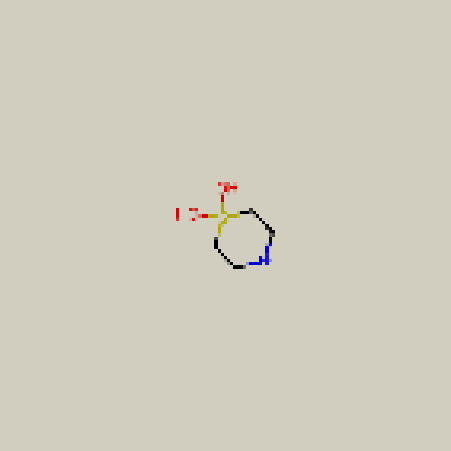 OS1(O)CC[N]CC1